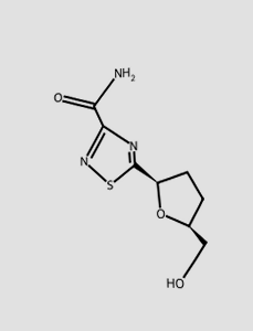 NC(=O)c1nsc([C@H]2CC[C@@H](CO)O2)n1